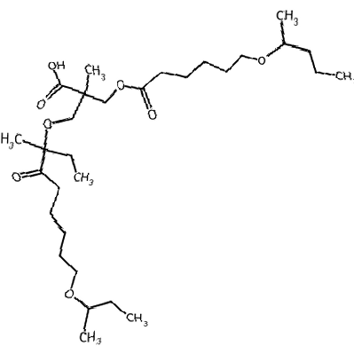 CCCC(C)OCCCCCC(=O)OCC(C)(COC(C)(CC)C(=O)CCCCCOC(C)CC)C(=O)O